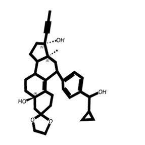 CC#C[C@]1(O)CCC2C3CC[C@@]4(O)CC5(CCC4=C3C(c3ccc(C(O)C4CC4)cc3)C[C@@]21C)OCCO5